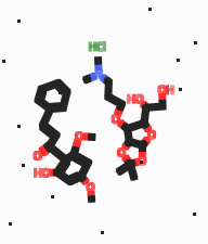 CN(C)CCCOC1C(C(O)CO)OC2OC(C)(C)OC21.COc1cc(O)c(C(=O)C=Cc2ccccc2)c(OC)c1.Cl